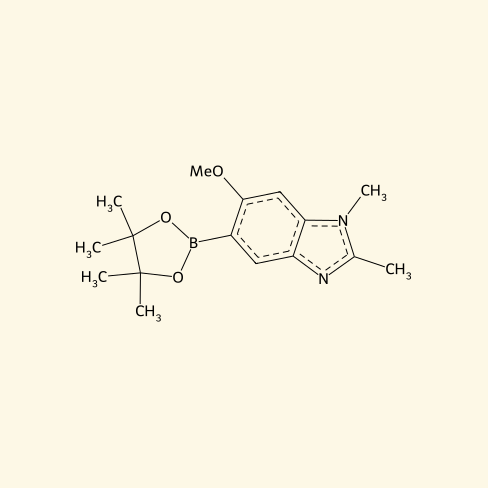 COc1cc2c(cc1B1OC(C)(C)C(C)(C)O1)nc(C)n2C